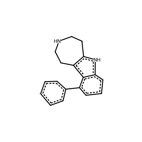 [c]1ccc(-c2cccc3[nH]c4c(c23)CCNCC4)cc1